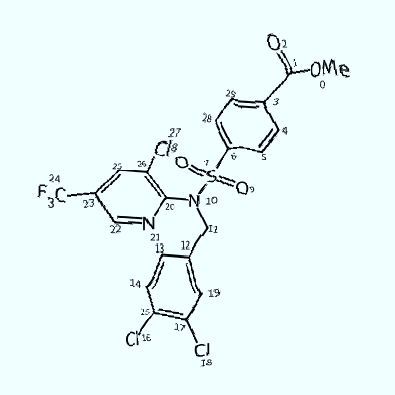 COC(=O)c1ccc(S(=O)(=O)N(Cc2ccc(Cl)c(Cl)c2)c2ncc(C(F)(F)F)cc2Cl)cc1